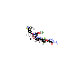 Cc1ncsc1-c1ccc([C@H](C)NC(=O)[C@@H]2C[C@@H](O)CN2C(=O)[C@@H](NC(=O)CCCc2cc(F)cc(OC[C@@H](N)CCC(N)=O)c2F)C(C)(C)C)cc1.Cl